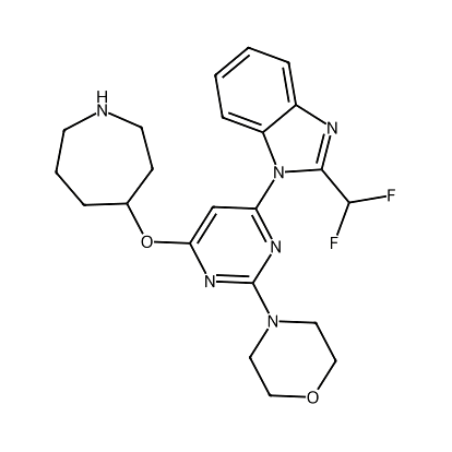 FC(F)c1nc2ccccc2n1-c1cc(OC2CCCNCC2)nc(N2CCOCC2)n1